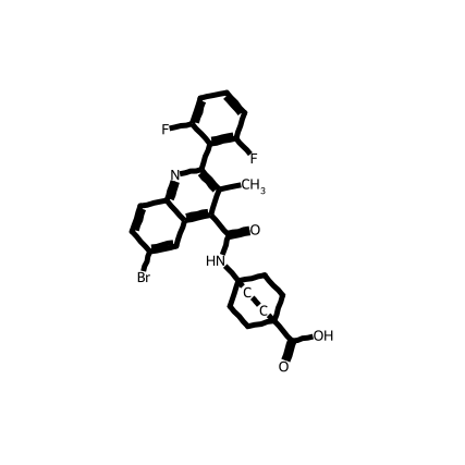 Cc1c(-c2c(F)cccc2F)nc2ccc(Br)cc2c1C(=O)NC12CCC(C(=O)O)(CC1)CC2